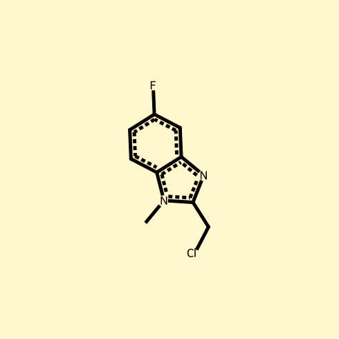 Cn1c(CCl)nc2cc(F)ccc21